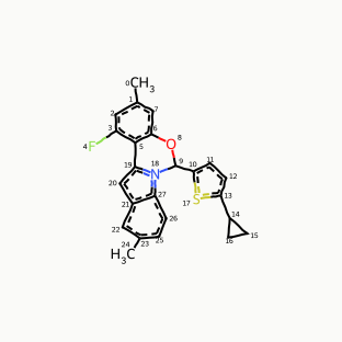 Cc1cc(F)c2c(c1)OC(c1ccc(C3CC3)s1)n1c-2cc2cc(C)ccc21